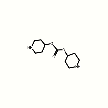 O=C(OC1CCNCC1)OC1CCNCC1